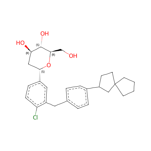 OC[C@H]1O[C@H](c2ccc(Cl)c(Cc3ccc(C4CCC5(CCCC5)C4)cc3)c2)C[C@@H](O)[C@@H]1O